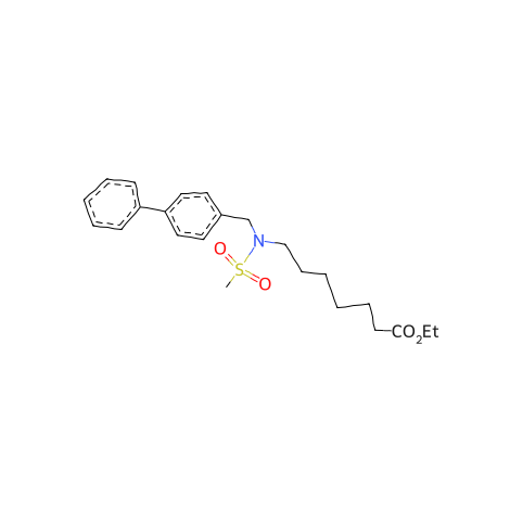 CCOC(=O)CCCCCCN(Cc1ccc(-c2ccccc2)cc1)S(C)(=O)=O